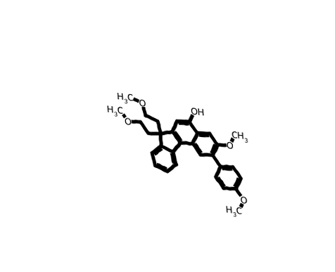 COCCC1(CCOC)c2ccccc2-c2c1cc(O)c1cc(OC)c(-c3ccc(OC)cc3)cc21